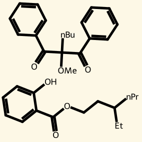 CCCC(CC)CCOC(=O)c1ccccc1O.CCCCC(OC)(C(=O)c1ccccc1)C(=O)c1ccccc1